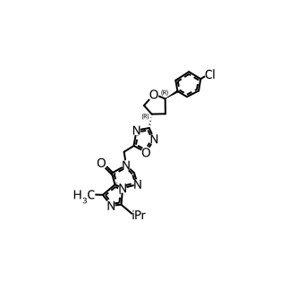 Cc1nc(C(C)C)n2ncn(Cc3nc([C@@H]4CO[C@@H](c5ccc(Cl)cc5)C4)no3)c(=O)c12